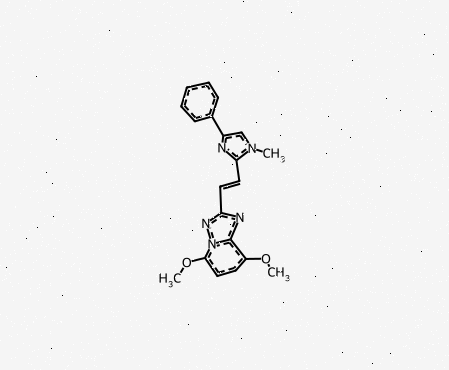 COc1ccc(OC)n2nc(C=Cc3nc(-c4ccccc4)cn3C)nc12